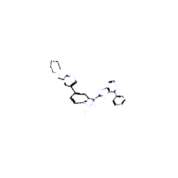 Fc1ccc(-c2nccc3[nH]c(-c4n[nH]c5ccc(-c6cncc(CN7CCCCC7)c6)cc45)nc23)cc1